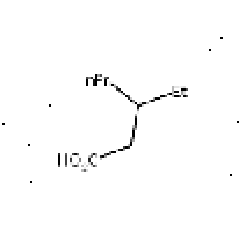 [CH2]CC(CCC)CC(=O)O